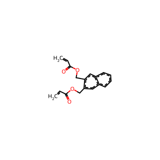 C=CC(=O)OCc1cc2ccccc2cc1COC(=O)C=C